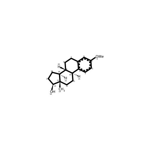 COc1ccc2c(c1)CC[C@@H]1[C@@H]2CC[C@]2(C)[C@@H](O)CC[C@@H]12